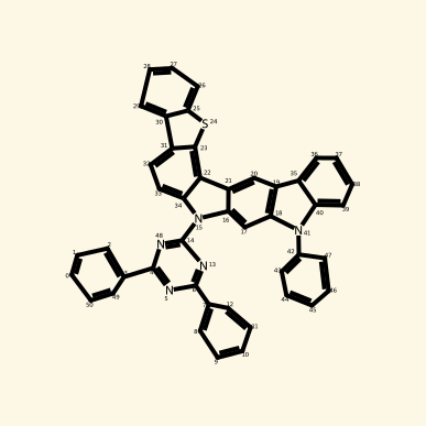 c1ccc(-c2nc(-c3ccccc3)nc(-n3c4cc5c(cc4c4c6sc7ccccc7c6ccc43)c3ccccc3n5-c3ccccc3)n2)cc1